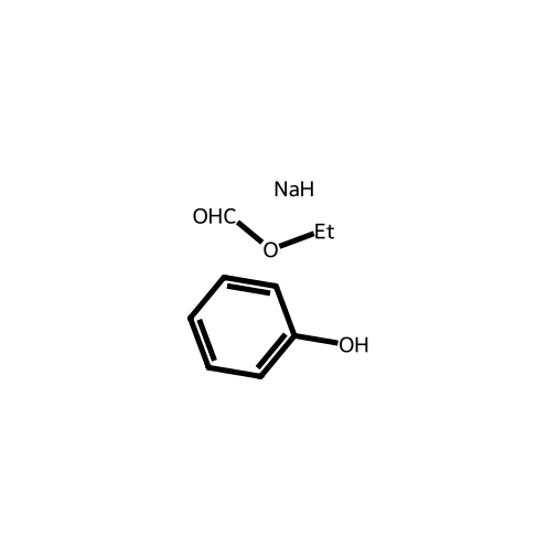 CCOC=O.Oc1ccccc1.[NaH]